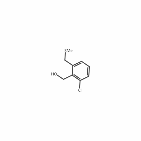 CSCc1cccc(Cl)c1CO